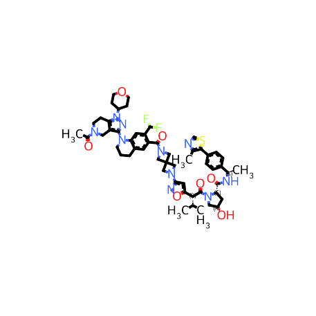 CC(=O)N1CCc2c(c(N3CCCc4cc(C(=O)N5CC6(C5)CN(c5cc([C@H](C(=O)N7C[C@H](O)C[C@H]7C(=O)N[C@@H](C)c7ccc(-c8scnc8C)cc7)C(C)C)on5)C6)c(C(F)F)cc43)nn2C2CCOCC2)C1